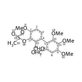 COc1ccc(-c2c(C=O)cc(OC)c(OC)c2OC)c(C=O)c1OS(C)(=O)=O